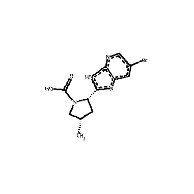 C[C@H]1C[C@@H](c2nc3cc(Br)cnc3[nH]2)N(C(=O)O)C1